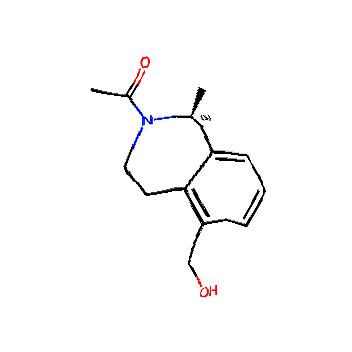 CC(=O)N1CCc2c(CO)cccc2[C@@H]1C